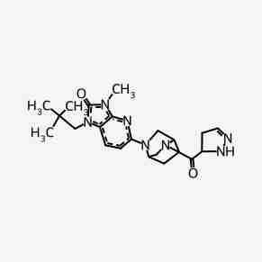 Cn1c(=O)n(CC(C)(C)C)c2ccc(N3CC4CCC3CN4C(=O)C3CC=NN3)nc21